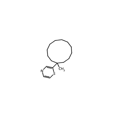 CC1(C2=C[N]C=CS2)CCCCCCCCCCC1